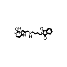 O=C1c2ccccc2C(=O)N1CCCCNCc1cn2c(O)nccc2n1